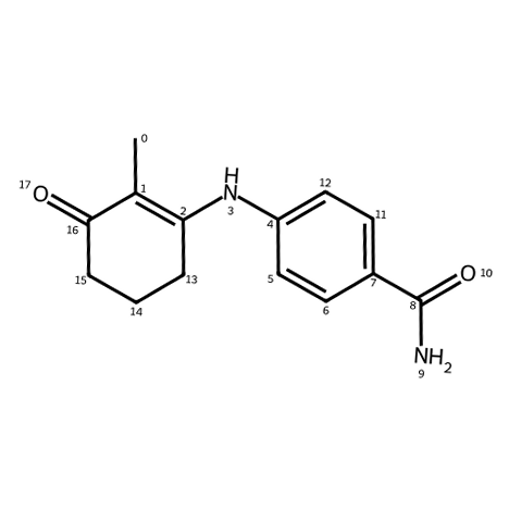 CC1=C(Nc2ccc(C(N)=O)cc2)CCCC1=O